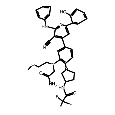 COCCN(CC(N)=O)c1cc(-c2cc(-c3ccccc3O)nc(Nc3ccccc3)c2C#N)ccc1N1CCC(NC(=O)C(F)(F)F)C1